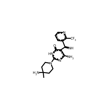 CC1(N)CCN(c2nc(N)c(C(=N)c3cccnc3C(F)(F)F)c(=O)[nH]2)CC1